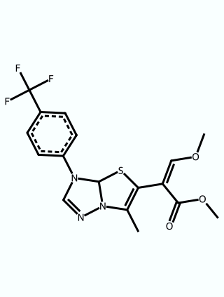 COC=C(C(=O)OC)C1=C(C)N2N=CN(c3ccc(C(F)(F)F)cc3)C2S1